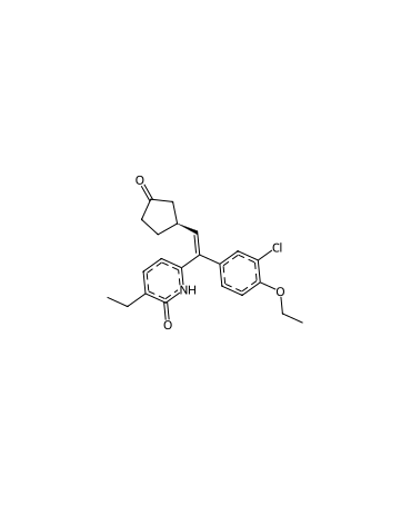 CCOc1ccc(C(=C[C@H]2CCC(=O)C2)c2ccc(CC)c(=O)[nH]2)cc1Cl